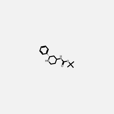 CC(C)(C)OC(=O)NC1CCN[C@H](c2ccccc2)C1